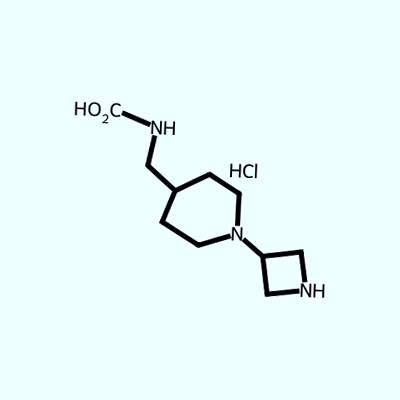 Cl.O=C(O)NCC1CCN(C2CNC2)CC1